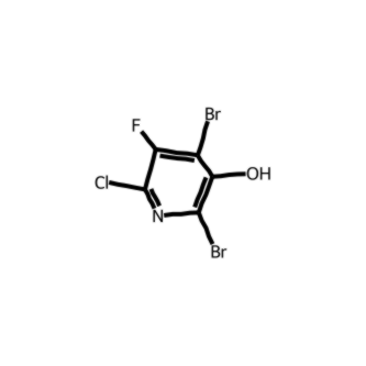 Oc1c(Br)nc(Cl)c(F)c1Br